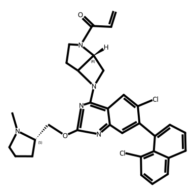 C=CC(=O)N1CCC2[C@H]1CN2c1nc(OC[C@@H]2CCCN2C)nc2cc(-c3cccc4cccc(Cl)c34)c(Cl)cc12